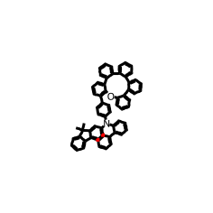 CC1(C)c2ccccc2-c2ccc(N(c3ccc(-c4cccc5c4Oc4ccccc4-c4ccccc4-c4ccccc4-c4ccccc4-5)cc3)c3ccccc3-c3ccccc3)cc21